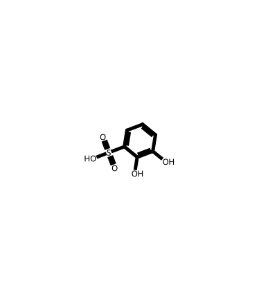 O=S(=O)(O)c1c[c]cc(O)c1O